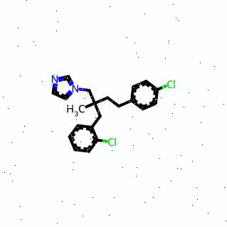 CC(CCc1ccc(Cl)cc1)(Cc1ccccc1Cl)Cn1ccnc1